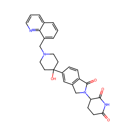 O=C1CCC(N2Cc3cc(C4(O)CCN(Cc5cccc6cccnc56)CC4)ccc3C2=O)C(=O)N1